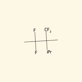 CC(C)C(C)(C(C)(F)F)C(F)(F)F